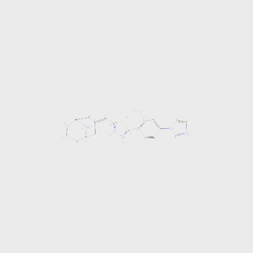 Oc1cc(-n2ccnc2)ccc1-c1nnc(C=C2CC3CCCC(C2)N3)s1